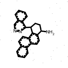 NC1CCC(c2nncc3ccccc23)c2c1ccc1c2ccc2ccccc21